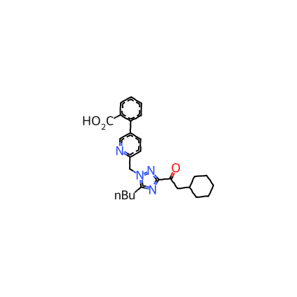 CCCCc1nc(C(=O)CC2CCCCC2)nn1Cc1ccc(-c2ccccc2C(=O)O)cn1